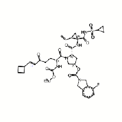 C=CC1C[C@]1(NC(=O)[C@@H]1C[C@@H](OC(=O)N2Cc3cccc(F)c3C2)CN1C(=O)[C@H](CCC(=O)/C=C/C1CCC1)NC(=O)OC(C)(C)C)C(=O)NS(=O)(=O)C1CC1